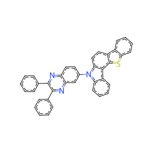 c1ccc(-c2nc3ccc(-n4c5ccccc5c5c6sc7ccccc7c6ccc54)cc3nc2-c2ccccc2)cc1